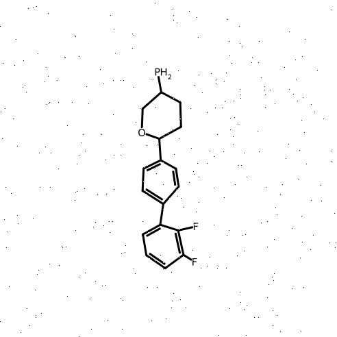 Fc1cccc(-c2ccc(C3CCC(P)CO3)cc2)c1F